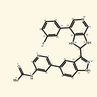 CC(C)(C)C(=O)Nc1cncc(-c2ccc3[nH]nc(C4Nc5cncc(-c6cccc(F)c6)c5N4)c3c2)c1